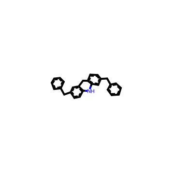 c1ccc(Cc2ccc3c(c2)Cc2ccc(Cc4ccccc4)cc2N3)cc1